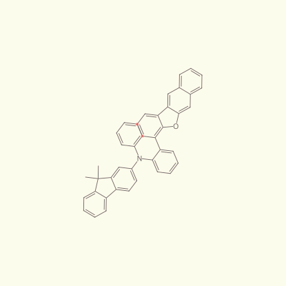 CC1(C)c2ccccc2-c2ccc(N(c3ccccc3)c3ccccc3-c3cccc4c3oc3cc5ccccc5cc34)cc21